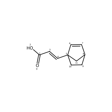 O=C(O)C=CC12C=CC(CC1)C2